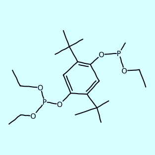 CCOP(C)Oc1cc(C(C)(C)C)c(OP(OCC)OCC)cc1C(C)(C)C